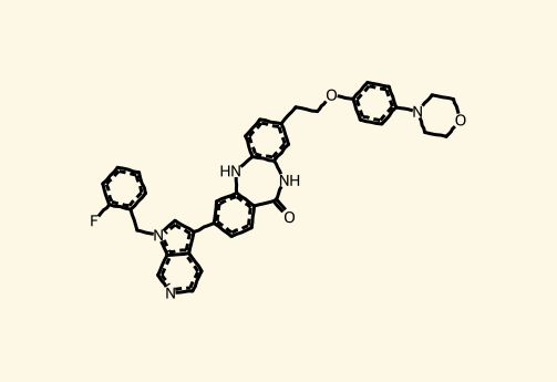 O=C1Nc2cc(CCOc3ccc(N4CCOCC4)cc3)ccc2Nc2cc(-c3cn(Cc4ccccc4F)c4cnccc34)ccc21